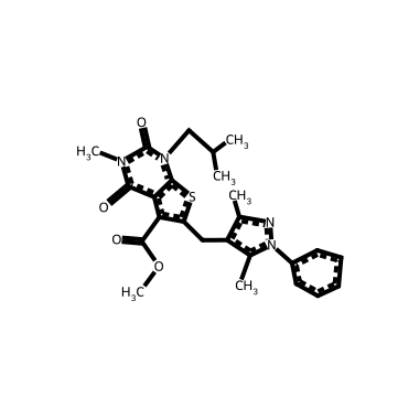 COC(=O)c1c(Cc2c(C)nn(-c3ccccc3)c2C)sc2c1c(=O)n(C)c(=O)n2CC(C)C